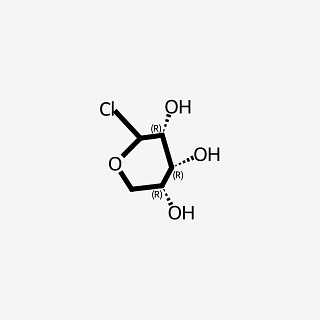 O[C@@H]1[C@H](O)COC(Cl)[C@@H]1O